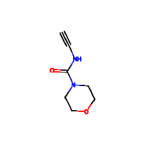 C#CNC(=O)N1CCOCC1